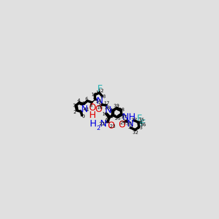 Cc1cccc(CC(O)[C@H]2C[C@@H](F)CN2C(=O)Cn2cc(C(N)=O)c3cc(NC(=O)N4CCCC(F)(F)C4)ccc32)n1